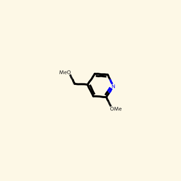 CO[CH]c1ccnc(OC)c1